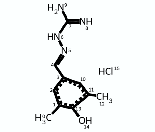 Cc1cc(C=NNC(=N)N)cc(C)c1O.Cl